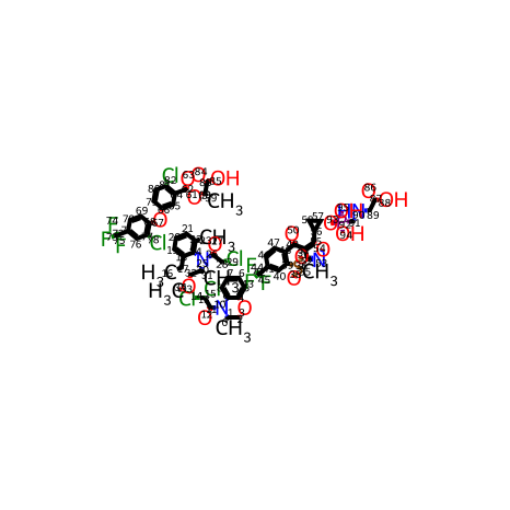 CC1COc2ccccc2N1C(=O)C(Cl)Cl.CCc1cccc(C)c1N(C(=O)CCl)C(C)COC.CS(=O)(=O)c1cc(C(F)(F)F)ccc1C(=O)c1cnoc1C1CC1.C[C@H](OC(=O)c1cc(Oc2ccc(C(F)(F)F)cc2Cl)ccc1Cl)C(=O)O.O=C(O)CNCP(=O)(O)O